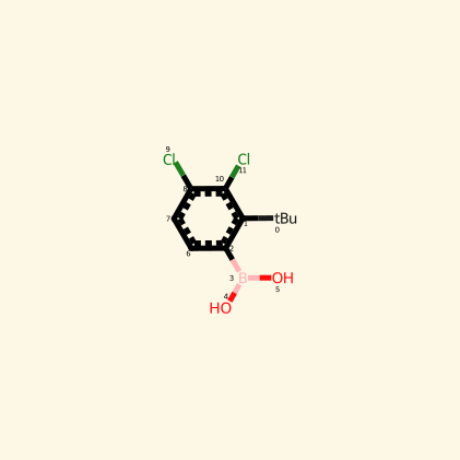 CC(C)(C)c1c(B(O)O)ccc(Cl)c1Cl